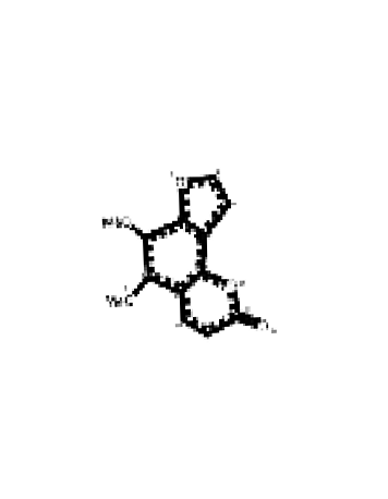 COc1c(OC)c2occc2c2oc(=O)ccc12